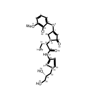 COc1cccc(OC2=CC(=O)N([C@@H](CC(C)C)C(=O)Nc3ccn(C[C@@H](O)CO)n3)C2)c1Cl